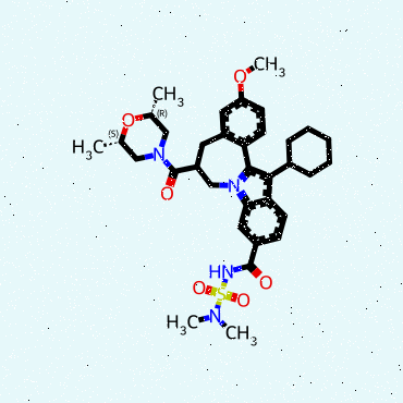 COc1ccc2c(c1)CC(C(=O)N1C[C@@H](C)O[C@@H](C)C1)Cn1c-2c(C2CCCCC2)c2ccc(C(=O)NS(=O)(=O)N(C)C)cc21